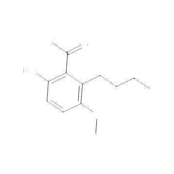 CCCCc1c(OC)ccc(O)c1C(C)=O